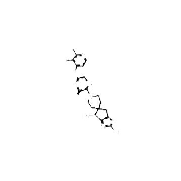 N[C@@H]1c2nc(Cl)sc2CC12CCN(c1ncc(Sc3ccnc(Cl)c3Cl)[nH]c1=O)CC2